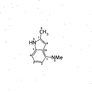 CNc1cccc2[nH]c(C)cc12